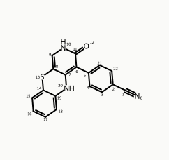 N#Cc1ccc(-c2c3c(c[nH]c2=O)Sc2ccccc2N3)cc1